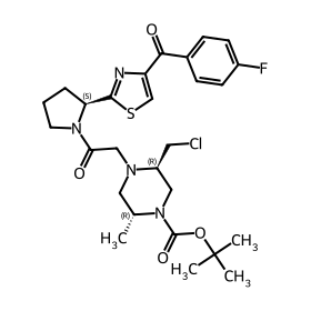 C[C@@H]1CN(CC(=O)N2CCC[C@H]2c2nc(C(=O)c3ccc(F)cc3)cs2)[C@@H](CCl)CN1C(=O)OC(C)(C)C